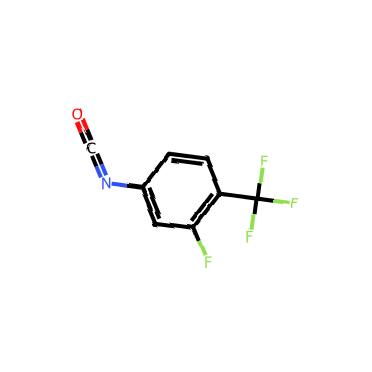 O=C=Nc1ccc(C(F)(F)F)c(F)c1